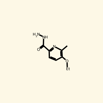 CCOc1ccc(C(=O)NN)nc1C